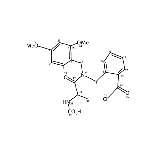 COc1ccc(CN(Cc2ccccc2C(=O)Cl)C(=O)C(C)NC(=O)O)c(OC)c1